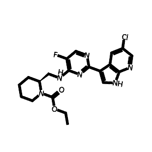 CCOC(=O)N1CCCC[C@H]1CNc1nc(-c2c[nH]c3ncc(Cl)cc23)ncc1F